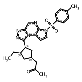 CC[C@@H]1C[C@H](CC(C)=O)C[C@@H]1c1nnc2cnc3c(ccn3S(=O)(=O)c3ccc(C)cc3)n12